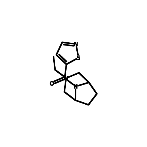 CCN1CC2CCC(C1)N2C(=O)c1ccns1